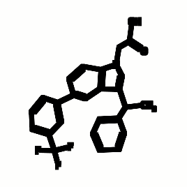 CC(c1ccccc1)c1cn(CC(=O)O)c2ccc(-c3cccc(C(F)(F)F)c3)cc12